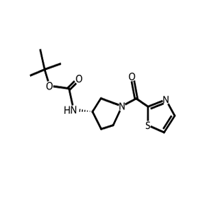 CC(C)(C)OC(=O)N[C@H]1CCN(C(=O)c2nccs2)C1